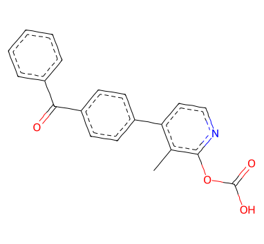 Cc1c(-c2ccc(C(=O)c3ccccc3)cc2)ccnc1OC(=O)O